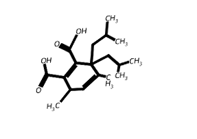 CC1=CC(C)C(C(=O)O)=C(C(=O)O)C1(CC(C)C)CC(C)C